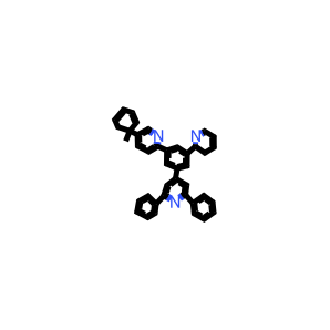 CC1(c2ccc(-c3cc(-c4cc(-c5ccccc5)nc(-c5ccccc5)c4)cc(C4CC=CC=N4)c3)nc2)C=CC=CC1